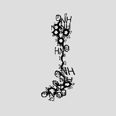 CNC(=O)c1cnc2ccc(-c3ccc(C(=O)NCCCCNC(=O)CNc4cccc5c4C(=O)N(C4CCC(=O)N(C)C4=O)C5=O)cc3)cc2c1Nc1ccccc1